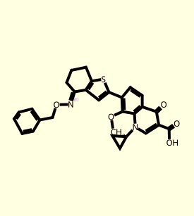 COc1c(-c2cc3c(s2)CCC/C3=N\OCc2ccccc2)ccc2c(=O)c(C(=O)O)cn(C3CC3)c12